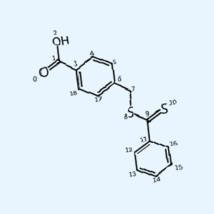 O=C(O)c1ccc(CSC(=S)c2ccccc2)cc1